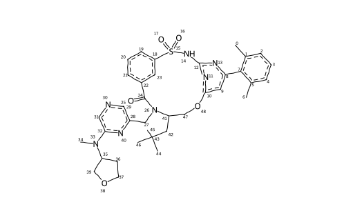 Cc1cccc(C)c1-c1cc2nc(n1)NS(=O)(=O)c1cccc(c1)C(=O)N(Cc1cncc(N(C)C3CCOC3)n1)C(CC(C)(C)C)CO2